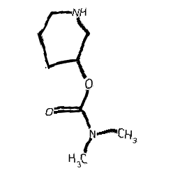 CN(C)C(=O)OC1[CH]CCNC1